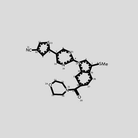 CSc1cn(-c2ncc(-c3cc(C#N)cs3)cn2)c2cc(C(=O)N3CCOCC3)ccc12